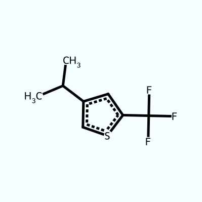 CC(C)c1csc(C(F)(F)F)c1